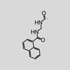 O=[C]NCNC(=O)c1cccc2ccccc12